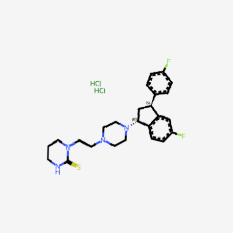 Cl.Cl.Fc1ccc([C@@H]2C[C@@H](N3CCN(CCN4CCCNC4=S)CC3)c3ccc(F)cc32)cc1